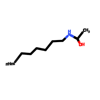 CCCCCCCCCCCCNC(C)O